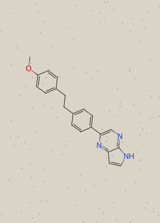 COc1ccc(CCc2ccc(-c3cnc4[nH]ccc4n3)cc2)cc1